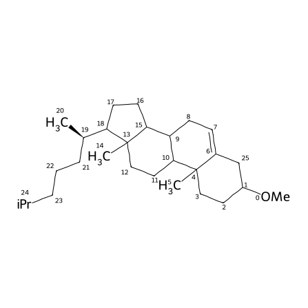 COC1CCC2(C)C(=CCC3C2CCC2(C)C3CCC2[C@H](C)CCCC(C)C)C1